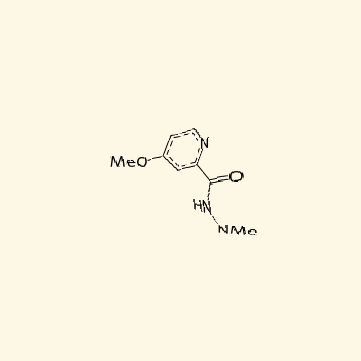 CNNC(=O)c1cc(OC)ccn1